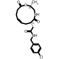 C[C@@H]1CNC(=O)[C@H](CC(=O)NCc2ccc(Cl)cc2)CC=CCCC(=O)O1